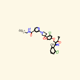 CCOC(=O)CNC(=O)c1ccnc(N2CCC(O)(c3ccc(OCc4c(-c5c(C)cccc5Cl)noc4C4CC4)cc3Cl)C2)c1